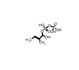 C/C=C(\C)C(O)OP(=O)(O)OP(=O)(O)O